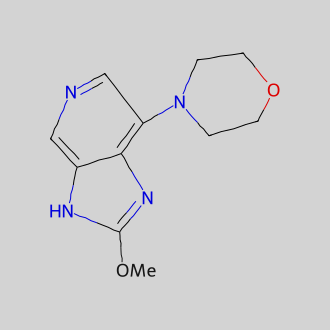 COc1nc2c(N3CCOCC3)cncc2[nH]1